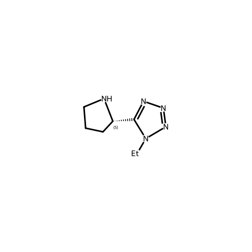 CCn1nnnc1[C@@H]1CCCN1